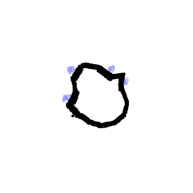 [CH]1/C=C/C=C\C=C\C=C\CCCCC1